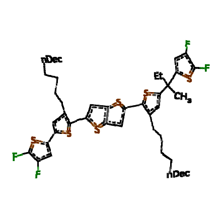 CCCCCCCCCCCCCCc1cc(-c2cc(F)c(F)s2)sc1-c1cc2sc(-c3sc(C(C)(CC)c4cc(F)c(F)s4)cc3CCCCCCCCCCCCCC)cc2s1